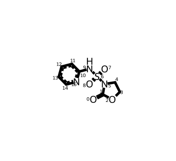 O=C1OCCN1S(=O)(=O)Nc1ccccn1